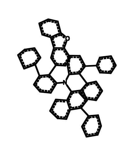 c1ccc(-c2cccc(N(c3cccc(-c4ccccc4)c3-c3ccc4oc5ccccc5c4c3)c3ccc(-c4ccccc4)c4ccccc34)c2-c2ccccc2)cc1